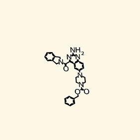 Nc1nc(C(=O)N2Cc3ccccc3C2)c2cc(N3CCN(C(=O)OCc4ccccc4)CC3)ccc2n1